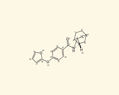 O=C(N[C@H]1CN2CCC1CC2)c1ccc(Oc2ccco2)cc1